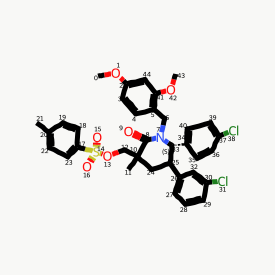 COc1ccc(CN2C(=O)C(C)(COS(=O)(=O)c3ccc(C)cc3)CC(c3cccc(Cl)c3)[C@H]2c2ccc(Cl)cc2)c(OC)c1